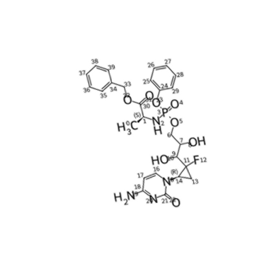 C[C@H](NP(=O)(OCC(O)C(O)C1(F)C[C@H]1n1ccc(N)nc1=O)Oc1ccccc1)C(=O)OCc1ccccc1